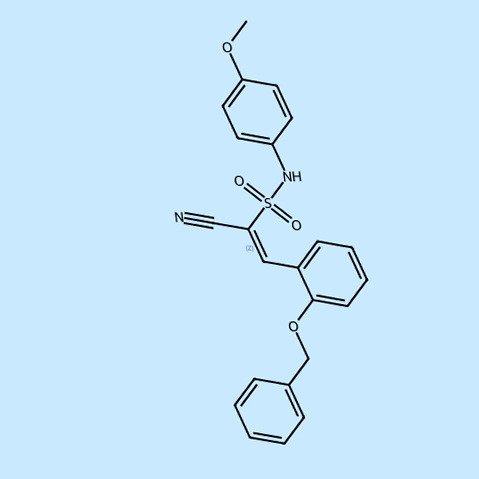 COc1ccc(NS(=O)(=O)/C(C#N)=C\c2ccccc2OCc2ccccc2)cc1